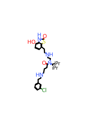 CC(C)C(C(C)C)N(CCNCCc1ccc(O)c2[nH]c(=O)sc12)C(=O)CCCNCCc1cccc(Cl)c1